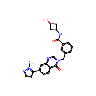 Cn1nccc1-c1ccc2c(=O)n(Cc3cccc(C(=O)NC4CC(O)C4)c3)cnc2c1